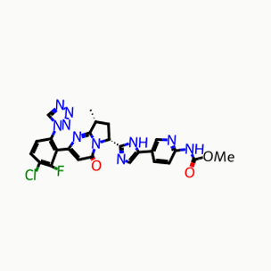 COC(=O)Nc1ccc(-c2cnc([C@H]3C[C@@H](C)c4nc(-c5c(-n6cnnn6)ccc(Cl)c5F)cc(=O)n43)[nH]2)cn1